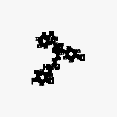 O=C(CCc1oc(-n2cnc3ccccc32)nc1-c1ccc(Cl)cc1)NCc1ccc(F)cc1Cl